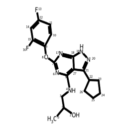 CC(O)CNc1nc(Oc2ccc(F)cc2F)nc2[nH]nc(C3CCCC3)c12